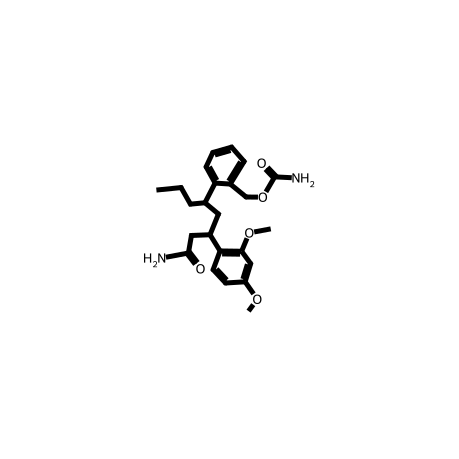 CCCC(CC(CC(N)=O)c1ccc(OC)cc1OC)c1ccccc1COC(N)=O